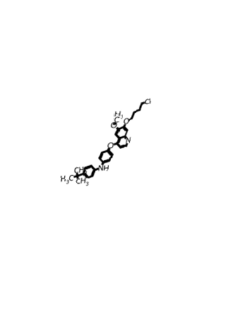 COc1cc2c(Oc3ccc(Nc4ccc(C(C)(C)C)cc4)cc3)ccnc2cc1OCCCCCl